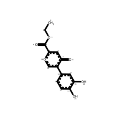 CCOC(=O)c1cc(=O)c(-c2ccc(O)c(O)c2)co1